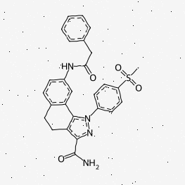 CS(=O)(=O)c1ccc(-n2nc(C(N)=O)c3c2-c2cc(NC(=O)Cc4ccccc4)ccc2CC3)cc1